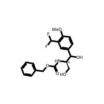 COc1ccc(C(O)[C@@H](CO)NC(=O)OCc2ccccc2)cc1C(F)F